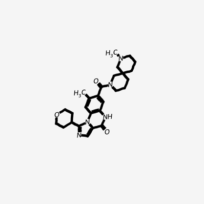 Cc1cc2c(cc1C(=O)N1CCCC3(CCCN(C)C3)C1)[nH]c(=O)c1cnc(C3CCOCC3)n12